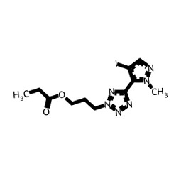 CCC(=O)OCCCn1nnc(-c2c(I)cnn2C)n1